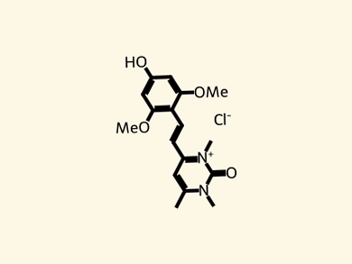 COc1cc(O)cc(OC)c1C=Cc1cc(C)n(C)c(=O)[n+]1C.[Cl-]